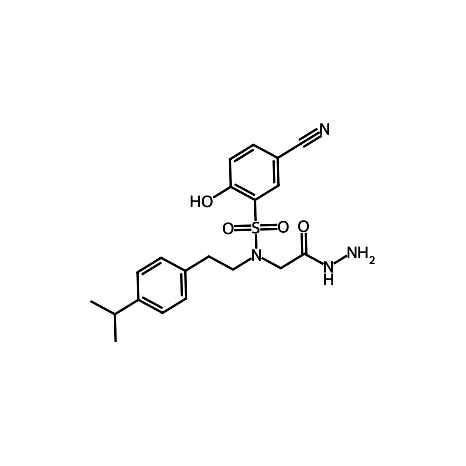 CC(C)c1ccc(CCN(CC(=O)NN)S(=O)(=O)c2cc(C#N)ccc2O)cc1